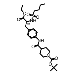 CCCCS(=O)(=O)N[C@@H](Cc1ccc(NC(=O)C2CCN(C(=O)OC(C)(C)C)CC2)cc1)C(=O)OCC